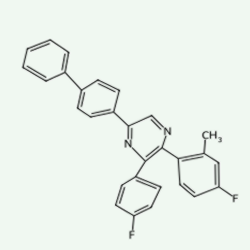 Cc1cc(F)ccc1-c1ncc(-c2ccc(-c3ccccc3)cc2)nc1-c1ccc(F)cc1